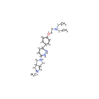 CCN(CC)CCOc1ccc(-c2ccc(N3CC4=CN(C)CC4C3)nn2)cc1